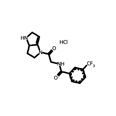 Cl.O=C(NCC(=O)N1CCC2NCC=C21)c1cccc(C(F)(F)F)c1